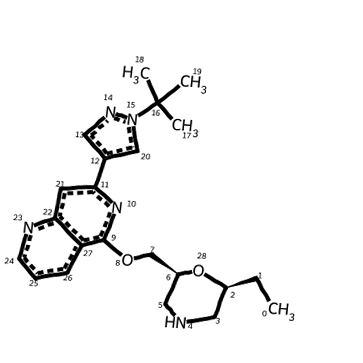 CC[C@H]1CNC[C@@H](COc2nc(-c3cnn(C(C)(C)C)c3)cc3ncccc23)O1